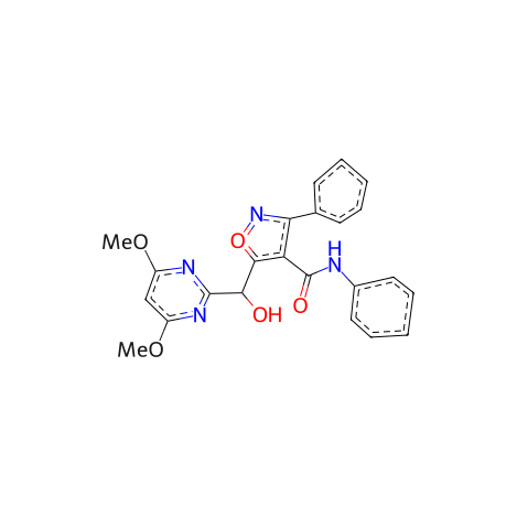 COc1cc(OC)nc(C(O)c2onc(-c3ccccc3)c2C(=O)Nc2ccccc2)n1